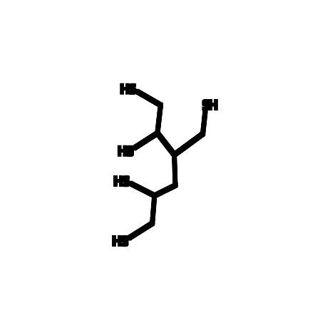 SCC(S)CC(CS)C(S)CS